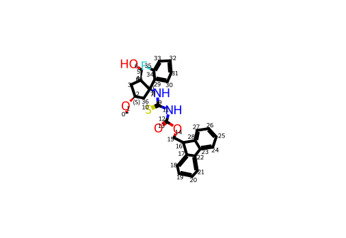 CO[C@H]1C[C@@H](CO)[C@](NC(=S)NC(=O)OCC2c3ccccc3-c3ccccc32)(c2ccccc2F)C1